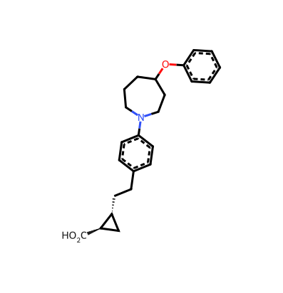 O=C(O)[C@@H]1C[C@H]1CCc1ccc(N2CCCC(Oc3ccccc3)CC2)cc1